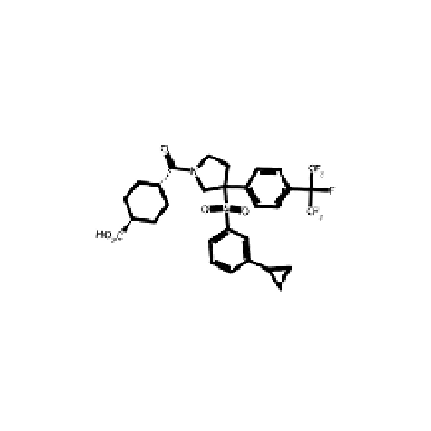 O=C(O)[C@H]1CC[C@H](C(=O)N2CCC(c3ccc(C(F)(C(F)(F)F)C(F)(F)F)cc3)(S(=O)(=O)c3cccc(C4CC4)c3)C2)CC1